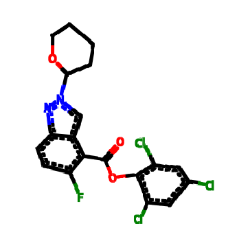 O=C(Oc1c(Cl)cc(Cl)cc1Cl)c1c(F)ccc2nn(C3CCCCO3)cc12